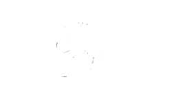 CCCCCCCC(=O)N[C@H](c1cccc(C(=O)OC)c1)[C@H](C)OP(=O)(O)O